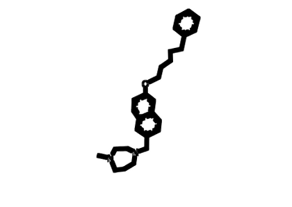 CN1CCCN(Cc2ccc3cc(OCCCCCc4ccccc4)ccc3c2)CC1